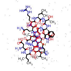 CC[C@H](C)[C@H](NC(=O)[C@@H](N)CC(=O)O)C(=O)N[C@@H](CC(C)C)C(=O)N[C@@H](CC(C)C)C(=O)N[C@@H](CCCCN)C(=O)N[C@@H](Cc1c[nH]c2ccccc12)C(=O)N[C@@H](CCC(N)=O)C(=O)N[C@@H](CCCNC(=N)N)C(=O)N[C@@H](CC(C)C)C(=O)N[C@H](C(=O)N[C@@H](CCC(=O)O)C(=O)N[C@@H](CCC(=O)O)C(=O)N[C@@H](CCC(N)=O)C(=O)N[C@@H](CS)C(=O)N[C@@H](CC(C)C)C(=O)O)[C@@H](C)O